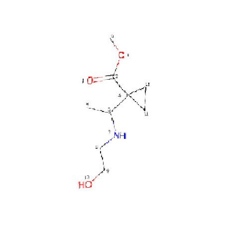 COC(=O)C1(C(C)NCCO)CC1